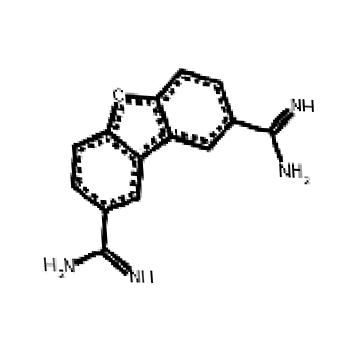 N=C(N)c1ccc2oc3ccc(C(=N)N)cc3c2c1